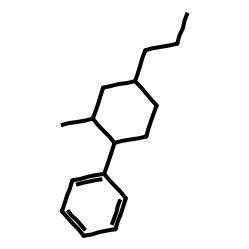 CCCC1CCC(c2ccccc2)C(C)C1